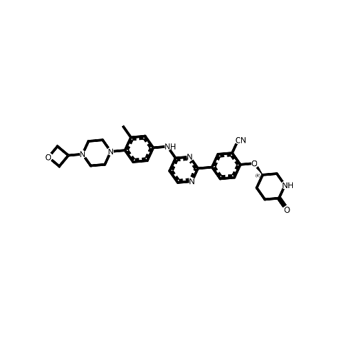 Cc1cc(Nc2ccnc(-c3ccc(O[C@@H]4CCC(=O)NC4)c(C#N)c3)n2)ccc1N1CCN(C2COC2)CC1